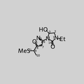 CCN1CC(O)N(c2cc(C(C)SC)on2)C1=O